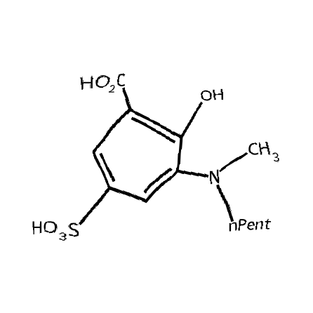 CCCCCN(C)c1cc(S(=O)(=O)O)cc(C(=O)O)c1O